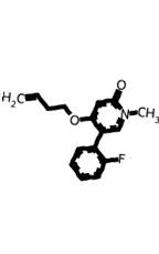 C=CCCOc1cc(=O)n(C)cc1-c1ccccc1F